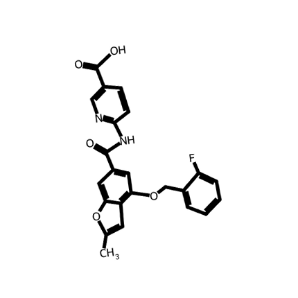 Cc1cc2c(OCc3ccccc3F)cc(C(=O)Nc3ccc(C(=O)O)cn3)cc2o1